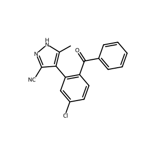 Cc1[nH]nc(C#N)c1-c1cc(Cl)ccc1C(=O)c1ccccc1